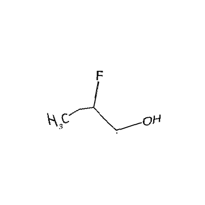 CC(F)[CH]O